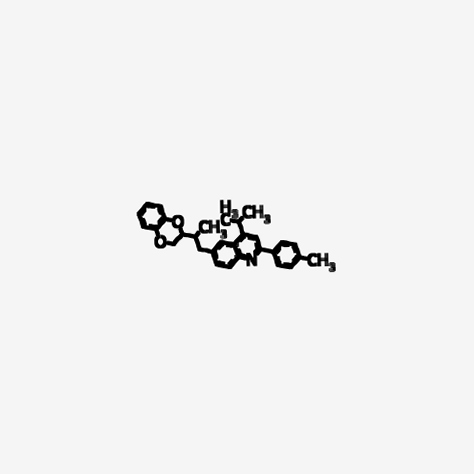 Cc1ccc(-c2cc(C(C)C)c3cc(CC(C)C4COc5ccccc5O4)ccc3n2)cc1